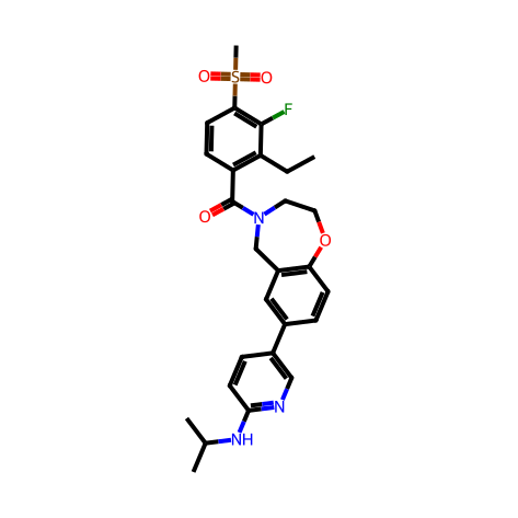 CCc1c(C(=O)N2CCOc3ccc(-c4ccc(NC(C)C)nc4)cc3C2)ccc(S(C)(=O)=O)c1F